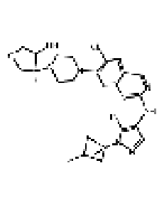 CC1(N2CCN(c3cc4nc(Nc5cnn(C67CC(F)(C6)C7)c5Cl)ncc4cc3Cl)CC2)COCC1O